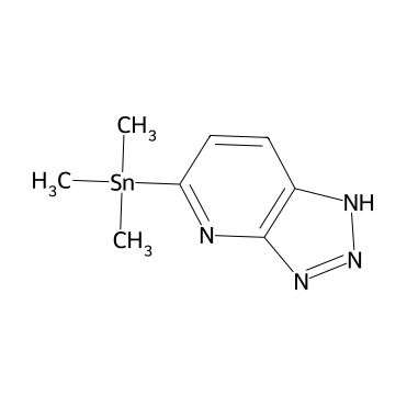 [CH3][Sn]([CH3])([CH3])[c]1ccc2[nH]nnc2n1